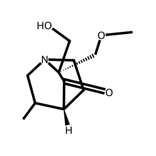 COC[C@]1(CO)C(=O)[C@@H]2CCN1CC2C